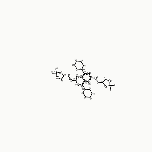 CC1(C)OCC(COc2nc(N3CCCCC3)c3nc(OCC4COC(C)(C)O4)nc(N4CCCCC4)c3n2)O1